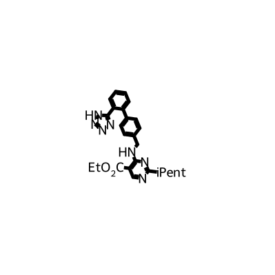 CCCC(C)c1ncc(C(=O)OCC)c(NCc2ccc(-c3ccccc3-c3nnn[nH]3)cc2)n1